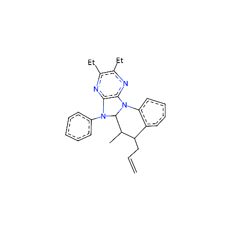 C=CCC1c2ccccc2N2c3nc(CC)c(CC)nc3N(c3ccccc3)C2C1C